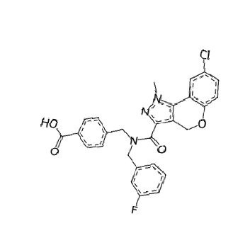 Cn1nc(C(=O)N(Cc2ccc(C(=O)O)cc2)Cc2cccc(F)c2)c2c1-c1cc(Cl)ccc1OC2